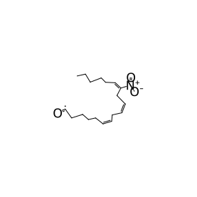 CCCCC/C=C(\C/C=C\C/C=C\CCCC[C]=O)[N+](=O)[O-]